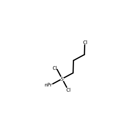 CCCS(Cl)(Cl)CCCCl